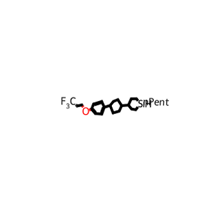 CCCCC[SiH]1CCC(C2CCC(c3ccc(OCCC(F)(F)F)cc3)CC2)CC1